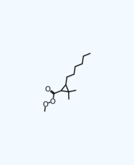 CCCCCCC1C(C(=O)OOC)C1(C)C